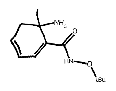 CC(C)(C)ONC(=O)C1=CC=CCC1(C)N